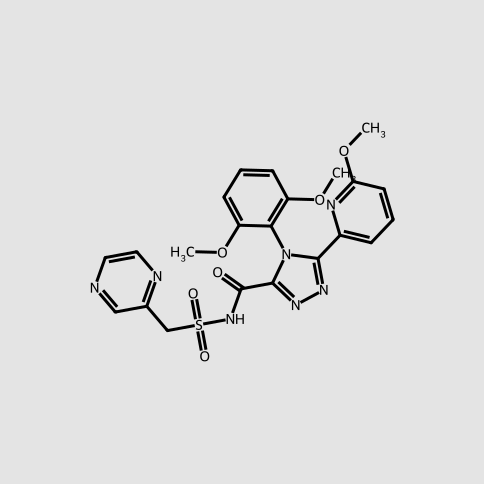 COc1cccc(-c2nnc(C(=O)NS(=O)(=O)Cc3cnccn3)n2-c2c(OC)cccc2OC)n1